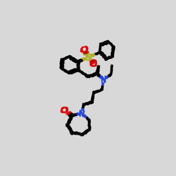 CCN(CCCCN1CCCCCC1=O)C(C)Cc1ccccc1S(=O)(=O)c1ccccc1